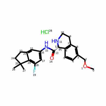 COCc1ccc2c(c1)CCN[C@H]2C(=O)Nc1cc(F)c2c(c1)CCC2(C)C.Cl